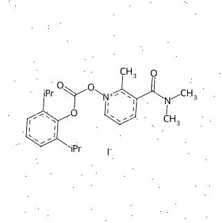 Cc1c(C(=O)N(C)C)ccc[n+]1OC(=O)Oc1c(C(C)C)cccc1C(C)C.[I-]